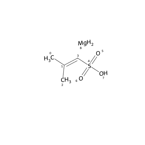 CC(C)=CS(=O)(=O)O.[MgH2]